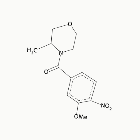 COc1cc(C(=O)N2CCOCC2C)ccc1[N+](=O)[O-]